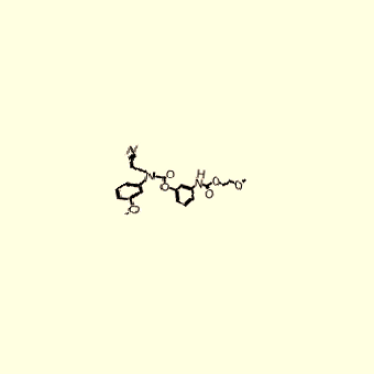 COCCOC(=O)Nc1cccc(OC(=O)N(CCC#N)c2cccc(OC)c2)c1